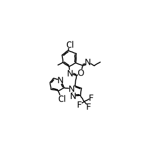 CCN=c1oc(-c2cc(C(F)(F)F)nn2-c2ncccc2Cl)nc2c(C)cc(Cl)cc12